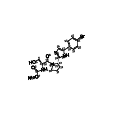 COC(=O)N[C@@H](CO)C(=O)N1CCC[C@H]1c1ncc(-c2ccc(Br)cc2)[nH]1